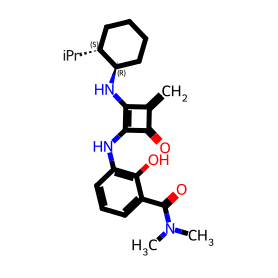 C=C1C(=O)C(Nc2cccc(C(=O)N(C)C)c2O)=C1N[C@@H]1CCCC[C@H]1C(C)C